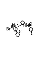 O=C(NCc1cccc(CNc2cc(-c3ccccc3Cl)nc3c(Br)cnn23)c1)c1ccc(Cl)cc1